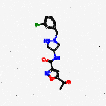 CC(=O)c1cc(C(=O)NC2CNN(Cc3cccc(F)c3)C2)no1